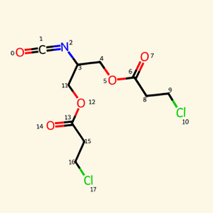 O=C=NC(COC(=O)CCCl)COC(=O)CCCl